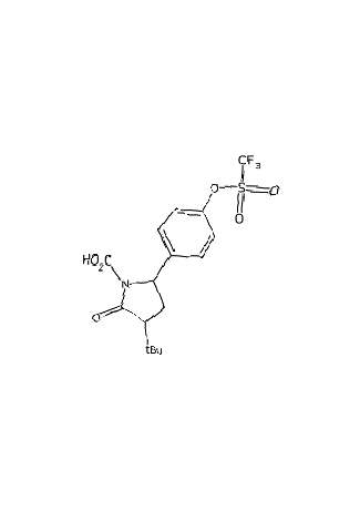 CC(C)(C)C1CC(c2ccc(OS(=O)(=O)C(F)(F)F)cc2)N(C(=O)O)C1=O